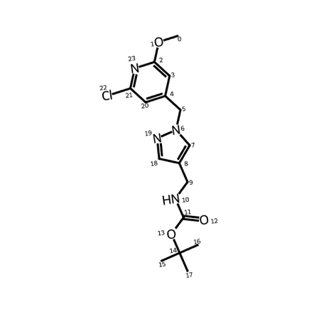 COc1cc(Cn2cc(CNC(=O)OC(C)(C)C)cn2)cc(Cl)n1